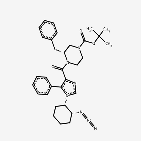 CC(C)(C)OC(=O)N1CCN(C(=O)c2ncn([C@H]3CCCC[C@H]3N=[N+]=[N-])c2-c2ccccc2)[C@H](Cc2ccccc2)C1